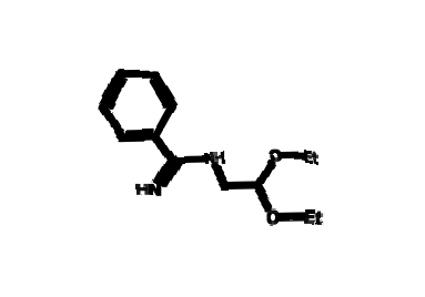 CCOC(CNC(=N)c1ccccc1)OCC